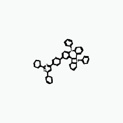 C1=CCCC(c2nc(-c3ccccc3)cc(-c3ccc(-c4ccc5c(c4)-c4c6c(n(-c7ccccc7)c4-c4ccccc4N5c4ccccc4)C=CCC6)cc3)n2)=C1